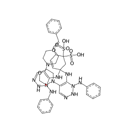 O=S(=O)(O)C1(S(=O)(=O)O)CC(NC2=C(N3CCOCC3)C=NNN2Nc2ccccc2)(NC2=C(N3CCOCC3)C=NNN2Nc2ccccc2)C=CC1C=Cc1ccccc1